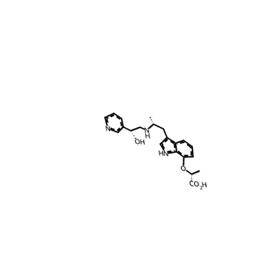 C[C@H](Cc1c[nH]c2c(O[C@H](C)C(=O)O)cccc12)NC[C@H](O)c1cccnc1